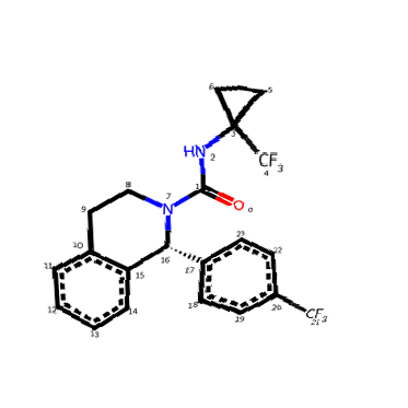 O=C(NC1(C(F)(F)F)CC1)N1CCc2ccccc2[C@H]1c1ccc(C(F)(F)F)cc1